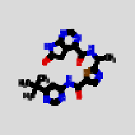 CC(NC(=O)c1ncnc2c1CC(=O)N2)c1ncc(C(=O)Nc2cc(C(C)(C)C)ncn2)s1